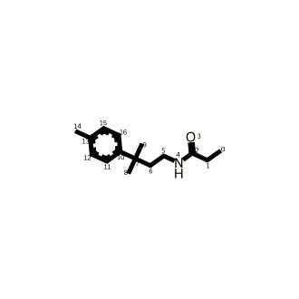 CCC(=O)NCCC(C)(C)c1ccc(C)cc1